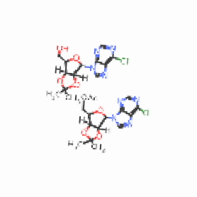 CC(=O)OC[C@H]1O[C@@H](n2cnc3c(Cl)ncnc32)[C@@H]2OC(C)(C)O[C@@H]21.CC1(C)O[C@@H]2[C@H](O1)[C@@H](CO)O[C@H]2n1cnc2c(Cl)ncnc21